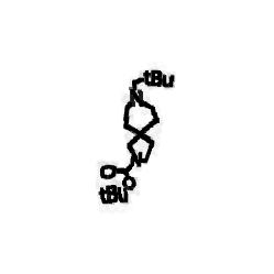 CC(C)(C)CN1CCC2(CC1)CCN(C(=O)OC(C)(C)C)C2